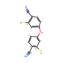 N#Cc1ccc(Oc2ccc(C#N)c(F)c2)cc1F